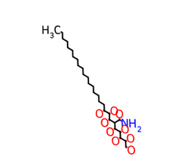 CCCCCCCCCCCCCCCCCCC(=O)C(=O)C(=O)C(C(N)=O)C(=O)C(=O)C(=O)C(=O)C=O